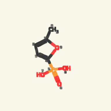 Cc1ccc(P(=O)(O)O)o1